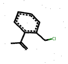 C=C(C)c1ccccc1CCl